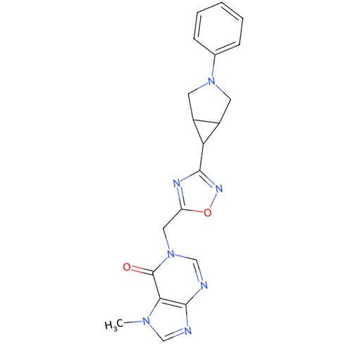 Cn1cnc2ncn(Cc3nc(C4C5CN(c6ccccc6)CC54)no3)c(=O)c21